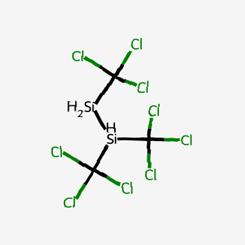 ClC(Cl)(Cl)[SiH2][SiH](C(Cl)(Cl)Cl)C(Cl)(Cl)Cl